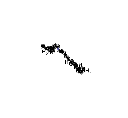 NC(=O)c1c(F)cccc1Nc1nc(Nc2ccc(S(=O)(=O)NCCOCCOCCOC3CCN(C/C=C/C(=O)N4CCC[C@@H](n5nc(-c6ccc(Oc7ccccc7)cc6)c6c(N)ncnc65)C4)CC3)cc2)ncc1Br